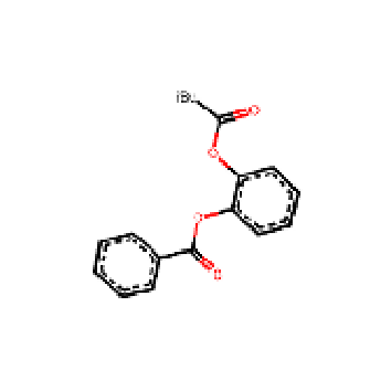 CCC(C)C(=O)Oc1ccccc1OC(=O)c1ccccc1